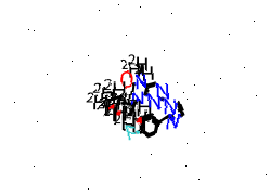 [2H]C([2H])([2H])N1C(=O)[C@@H](C([2H])([2H])C([2H])([2H])[2H])N(C([2H])(C([2H])([2H])[2H])C([2H])([2H])[2H])c2nc(-n3ccnc3-c3ccc(F)cc3)ncc21